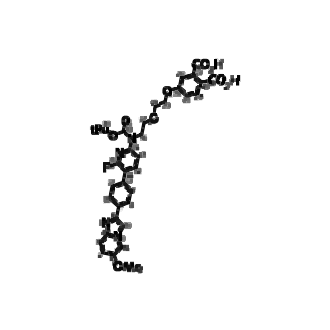 COc1ccc2nc(-c3ccc(-c4ccc(N(CCOCCOc5ccc(C(=O)O)c(C(=O)O)c5)C(=O)OC(C)(C)C)nc4F)cc3)cn2c1